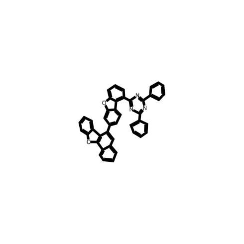 c1ccc(-c2nc(-c3ccccc3)nc(-c3cccc4oc5cc(-c6cc7ccccc7c7oc8ccccc8c67)ccc5c34)n2)cc1